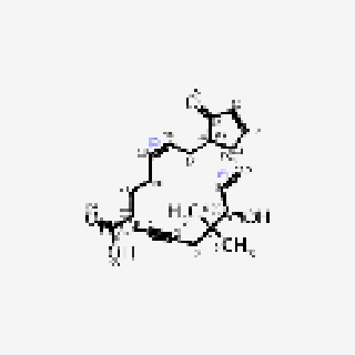 CC#CCC(C)(C)[C@H](O)/C=C/[C@H]1C=CC(=O)[C@@H]1C/C=C\CCCC(=O)O